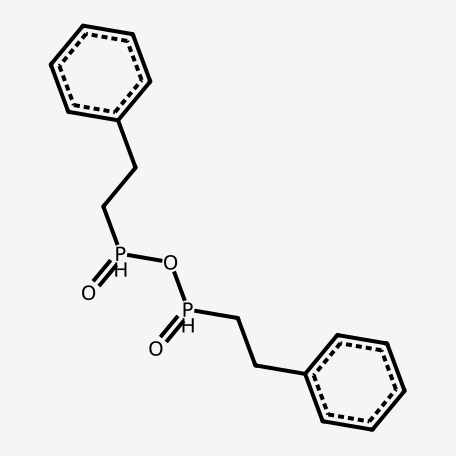 O=[PH](CCc1ccccc1)O[PH](=O)CCc1ccccc1